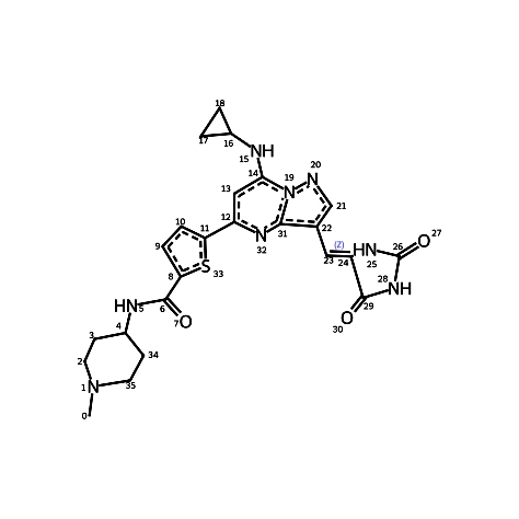 CN1CCC(NC(=O)c2ccc(-c3cc(NC4CC4)n4ncc(/C=C5\NC(=O)NC5=O)c4n3)s2)CC1